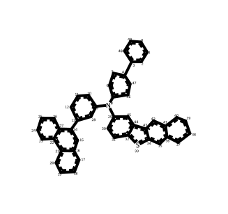 c1ccc(-c2ccc(N(c3cccc(-c4cc5ccccc5c5ccccc45)c3)c3ccc4sc5cc6ccccc6cc5c4c3)cc2)cc1